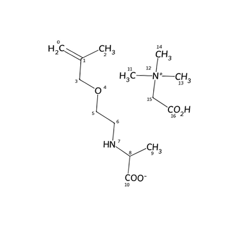 C=C(C)COCCNC(C)C(=O)[O-].C[N+](C)(C)CC(=O)O